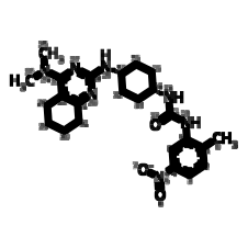 Cc1ccc([N+](=O)[O-])cc1NC(=O)N[C@H]1CC[C@@H](Nc2nc3c(c(N(C)C)n2)CCCC3)CC1